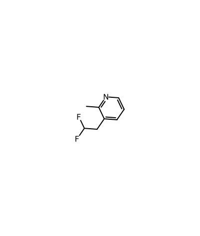 Cc1ncccc1CC(F)F